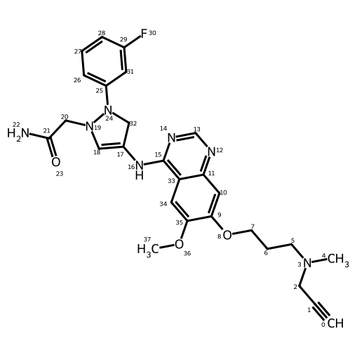 C#CCN(C)CCCOc1cc2ncnc(NC3=CN(CC(N)=O)N(c4cccc(F)c4)C3)c2cc1OC